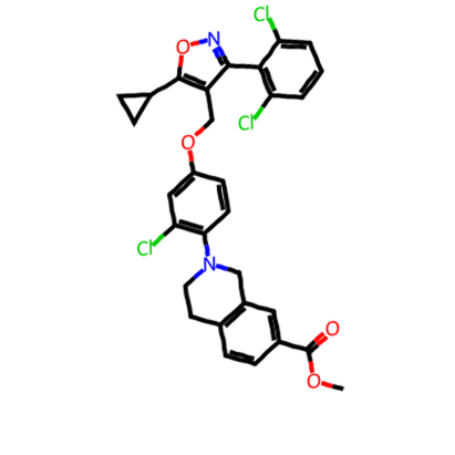 COC(=O)c1ccc2c(c1)CN(c1ccc(OCc3c(-c4c(Cl)cccc4Cl)noc3C3CC3)cc1Cl)CC2